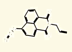 C=CCN1C(=O)c2cccc3c(N=[N+]=[N-])ccc(c23)C1=O